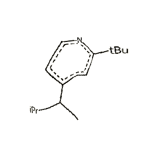 CC(C)C(C)c1ccnc(C(C)(C)C)c1